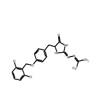 CC(C)=N/N=C1\NC(=O)C(Cc2ccc(OCc3c(Cl)cccc3Cl)cc2)N1